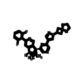 CC1(C)[C@H]2CC[C@]1(c1cncc(-c3cnn(C4CC5(C4)OCCO5)c3)n1)c1nnc(-c3c(F)cccc3F)cc12